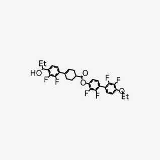 CCOc1ccc(-c2ccc(OC(=O)C3CC=C(c4ccc(C(O)CC)c(F)c4F)CC3)c(F)c2F)c(F)c1F